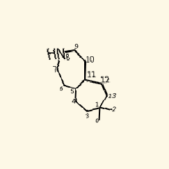 CC1(C)CCC2CCNCCC2CC1